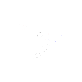 NC1CCN(C(=O)[C@H](NC(=O)[C@H](O)c2ccc(OCC3CCCCC3)cc2)C(F)(F)c2ccc(-c3ccc(Cl)cc3)cc2)CC1.O=C(O)C(F)(F)F